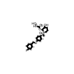 C[C@]1(O)CCCN(S(=O)(=O)c2ccc(OCc3ccc(F)cc3)cc2)[C@@H]1OC(=O)NO